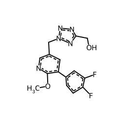 COc1ncc(Cn2nnc(CO)n2)cc1-c1ccc(F)c(F)c1